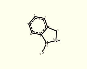 [S]N1NCc2ccccc21